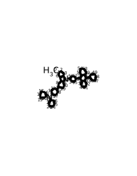 Cc1ccc2c(c1)c1cc(-c3ccc(N(c4ccccc4)c4ccccc4)cc3)ccc1n2-c1ccc(-c2c3ccccc3c(-c3ccccc3)c3ccccc23)cc1